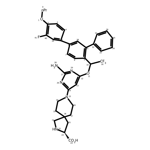 CCCOc1ccc(-c2ccc(C(Oc3cc(N4CCC5(CC4)CN[C@H](C(=O)O)C5)nc(N)n3)C(F)(F)F)c(-c3ccccc3)c2)cc1F